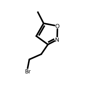 Cc1cc(CCBr)no1